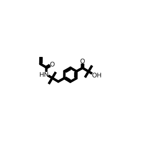 C=CC(=O)NC(C)(C)Cc1ccc(C(=O)C(C)(C)O)cc1